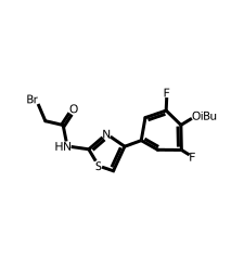 CC(C)COc1c(F)cc(-c2csc(NC(=O)CBr)n2)cc1F